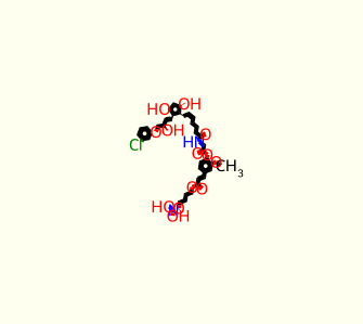 COc1cc(/C=C/C(=O)OCCCCON(O)O)ccc1OC(=O)CNC(=O)CCC/C=C\C[C@@H]1[C@@H](/C=C/[C@@H](O)COc2cccc(Cl)c2)[C@H](O)C[C@@H]1O